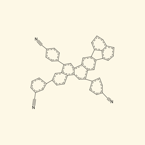 N#Cc1ccc(-c2cc3c4cc5c(cc4c(-c4ccc(C#N)cc4)cc3c3ccc(-c4cccc(C#N)c4)cc23)-c2cccc3cccc-5c23)cc1